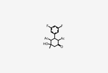 CC(=O)C1C(=O)CC(C)(O)C(C(C)=O)C1c1cc(F)cc(F)c1